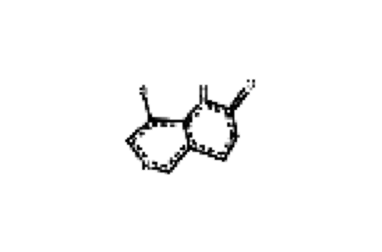 O=c1ccc2cncc(Br)c2[nH]1